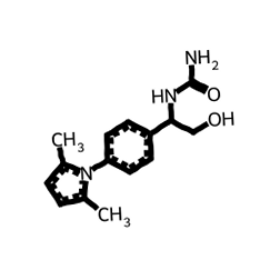 Cc1ccc(C)n1-c1ccc(C(CO)NC(N)=O)cc1